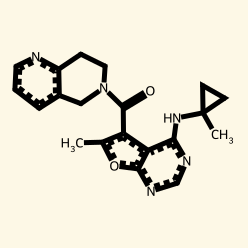 Cc1oc2ncnc(NC3(C)CC3)c2c1C(=O)N1CCc2ncccc2C1